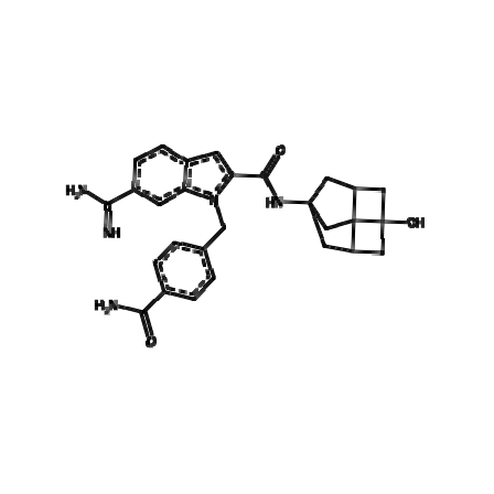 N=C(N)c1ccc2cc(C(=O)NC34CC5CC6(O)CC(C3)C56C4)n(Cc3ccc(C(N)=O)cc3)c2c1